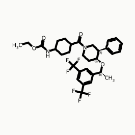 CCOC(=O)NC1CCC(C(=O)N2CC[C@H](O[C@H](C)c3cc(C(F)(F)F)cc(C(F)(F)F)c3)[C@H](c3ccccc3)C2)CC1